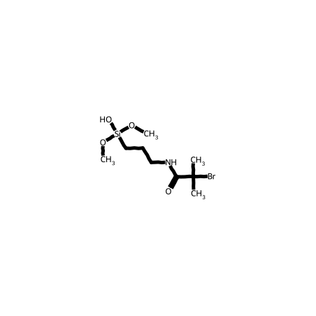 CO[Si](O)(CCCNC(=O)C(C)(C)Br)OC